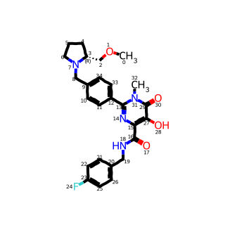 COC[C@H]1CCCN1Cc1ccc(-c2nc(C(=O)NCc3ccc(F)cc3)c(O)c(=O)n2C)cc1